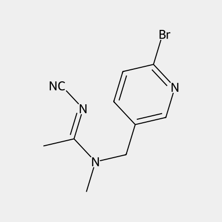 CC(=NC#N)N(C)Cc1ccc(Br)nc1